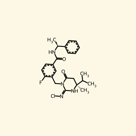 CC(C)[C@]1(C)CC(=O)N(Cc2cc(C(=O)N[C@@H](C)c3ccccc3)ccc2F)/C(=N\Cl)N1